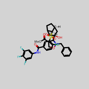 COC(=O)C1CON(Cc2ccccc2)C1[C@]1(O)CC2CC[C@@H](C1)[C@H]2S(=O)(=O)c1cc(C(=O)Nc2cc(F)c(F)c(F)c2)ccc1Cl